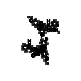 CCOc1ccc(S(=O)(=O)N(CC(=O)NC(C(N)=O)c2ccccc2)c2ccc(F)cc2)cc1.CCOc1ccc(S(=O)(=O)N(CC(=O)NC(Cc2c[nH]c3ccccc23)C(N)=O)c2ccc(F)cc2)cc1